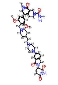 CNC(=O)N1CCc2c(-c3cc(OC)c(CN4CCC(CCN5CCN(c6ccc7c(c6)C(=O)N(C6CCC(=O)NC6=O)C7)CC5)CC4)c(OC)c3)cn(C)c(=O)c2C1